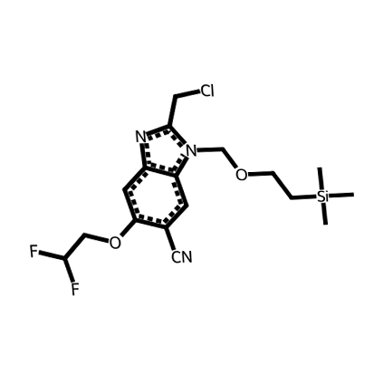 C[Si](C)(C)CCOCn1c(CCl)nc2cc(OCC(F)F)c(C#N)cc21